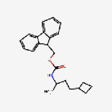 O=C(NC(CCC1CCC1)C(=O)O)OCC1c2ccccc2-c2ccccc21